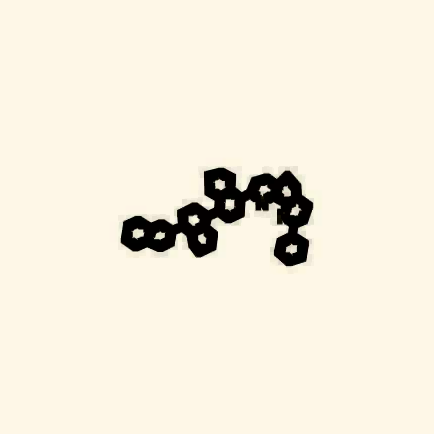 c1ccc(-c2ccc3ccc4ccc(-c5ccc(-c6ccc(-c7ccc8ccccc8c7)c7ccccc67)c6ccccc56)nc4c3n2)cc1